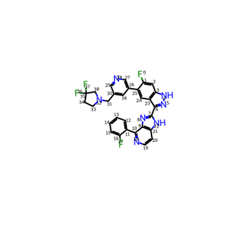 Fc1cc2[nH]nc(-c3nc4c(-c5ccccc5F)nccc4[nH]3)c2cc1-c1cncc(CN2CCC(F)(F)C2)c1